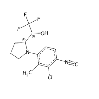 [C-]#[N+]c1ccc(N2CCC[C@@H]2[C@@H](O)C(F)(F)F)c(C)c1Cl